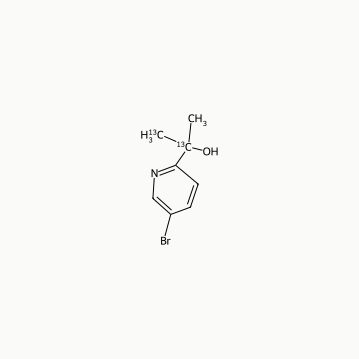 C[13C]([13CH3])(O)c1ccc(Br)cn1